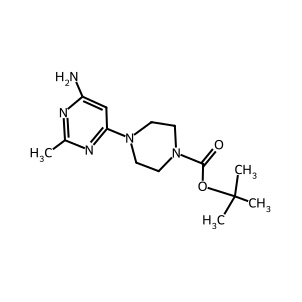 Cc1nc(N)cc(N2CCN(C(=O)OC(C)(C)C)CC2)n1